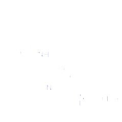 O=CCNC(=O)[C@@H]1CCCCN1C(=O)CNC(=O)c1ccccc1Cl